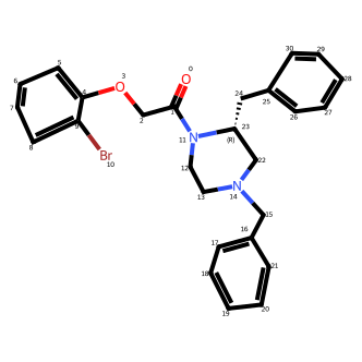 O=C(COc1ccccc1Br)N1CCN(Cc2ccccc2)C[C@H]1Cc1ccccc1